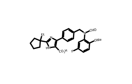 CCC1(c2nc(-c3ccc(CN(C=O)c4cc(F)ccc4OC)cc3)c(C(=O)O)[nH]2)CCCC1